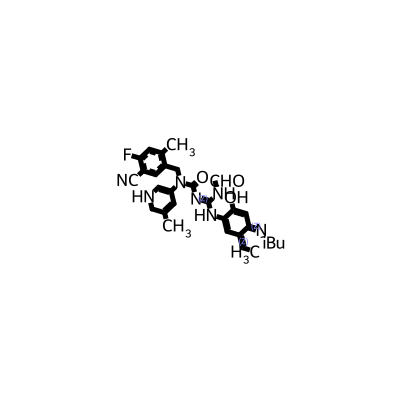 C/C=C1/C=C(N/C(=N/C(=O)N(Cc2cc(C#N)c(F)cc2C)C2=CNCC(C)=C2)NC=O)C(O)=C/C1=N/C(C)CC